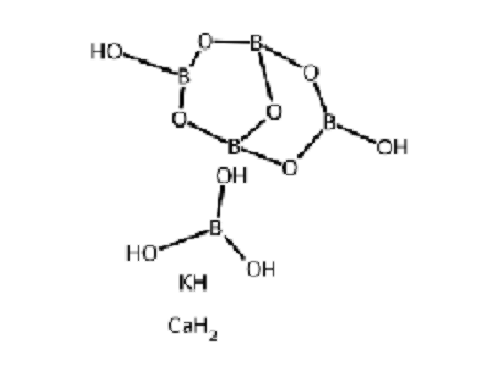 OB(O)O.OB1OB2OB(O)OB(O1)O2.[CaH2].[KH]